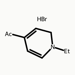 Br.CCN1C=CC(C(C)=O)=CC1